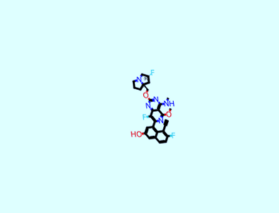 C#Cc1c(F)ccc2cc(O)cc(-c3nc(OC)c4c(NC)nc(OC[C@@]56CCCN5C[C@H](F)C6)nc4c3F)c12